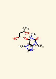 CC(O)CCO.Cn1c(=O)c2c(ncn2C)n(C)c1=O